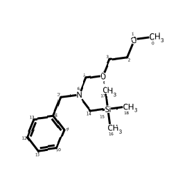 COCCOCN(Cc1ccccc1)C[Si](C)(C)C